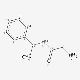 NCC(=O)NC([C]=O)c1ccccc1